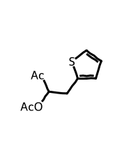 CC(=O)OC(Cc1cccs1)C(C)=O